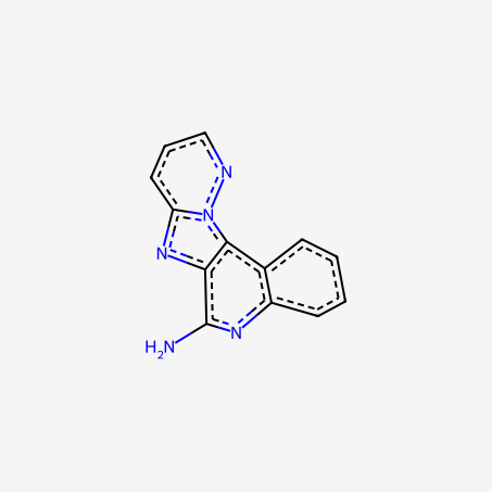 Nc1nc2ccccc2c2c1nc1cccnn12